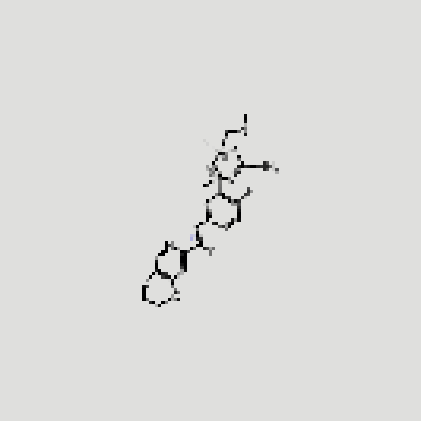 COC[C@@]1(C)SC(N)=N[C@](C)(c2cc(/C=C(\F)c3cc4c(cn3)OCCO4)ccc2F)[C@@H]1C